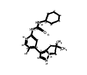 CC1(C)Cc2c(-c3cc(NC(=O)NC4CCCCC4)ncc3F)cnn2C1